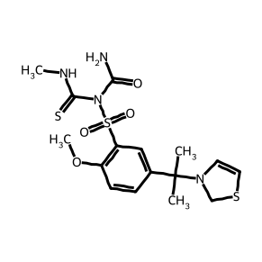 CNC(=S)N(C(N)=O)S(=O)(=O)c1cc(C(C)(C)N2C=CSC2)ccc1OC